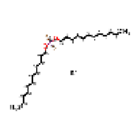 CCCCCCCCCCCCOP(=S)([S-])OCCCCCCCCCCCC.[K+]